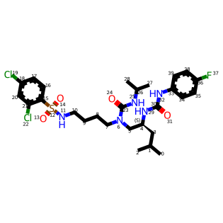 CC(C)C[C@@H](CN(CCCCNS(=O)(=O)c1ccc(Cl)cc1Cl)C(=O)NC(C)C)NC(=O)Nc1ccc(F)cc1